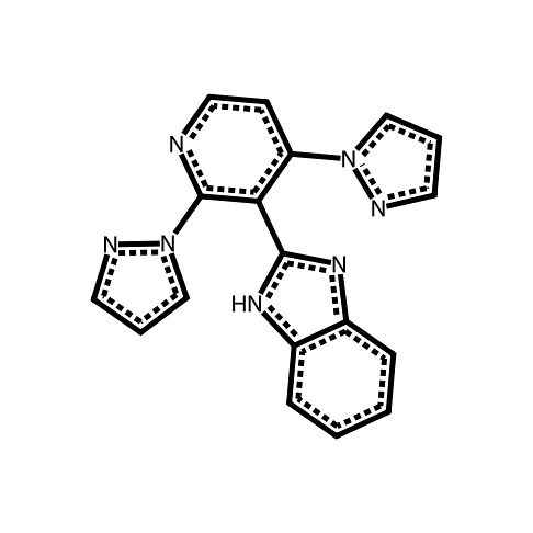 c1ccc2[nH]c(-c3c(-n4cccn4)ccnc3-n3cccn3)nc2c1